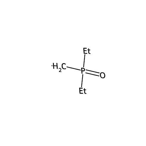 [CH2]P(=O)(CC)CC